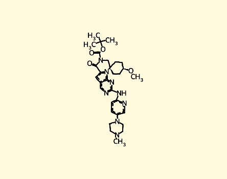 CO[C@H]1CC[C@]2(CC1)CN(C(=O)OC(C)(C)C)C(=O)c1cc3cnc(Nc4ccc(N5CCN(C)CC5)cn4)nc3n12